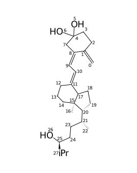 C=C1CCC(O)(O)C/C1=C/C=C1CCC[C@@]2(C)C1CC[C@@H]2[C@H](C)CC[C@H](O)C(C)C